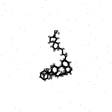 COCCNC(=O)N1C2CC1CN(c1ccc(-c3cc(OCCN4CCC5(CCN(C(F)(F)F)C5)C4)cn4ncc(C#N)c34)cn1)C2